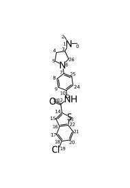 CN(C)C1CCN(c2ccc(NC(=O)c3cc4cc(Cl)ccc4s3)cc2)C1